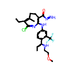 CC=C(NCCOC)c1ccc(NC2=C(\C(=O)N=N)CC/C(C)=C(CC)/C(Cl)=N\2)cc1C(F)(F)F